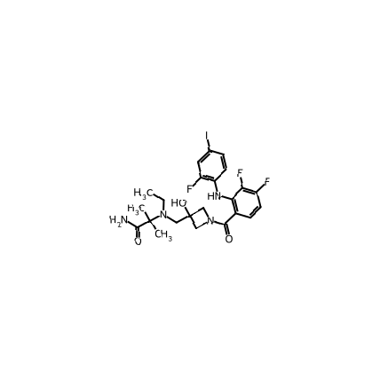 CCN(CC1(O)CN(C(=O)c2ccc(F)c(F)c2Nc2ccc(I)cc2F)C1)C(C)(C)C(N)=O